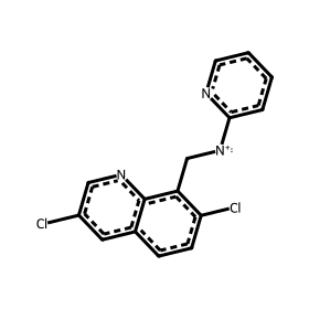 Clc1cnc2c(C[N+]c3ccccn3)c(Cl)ccc2c1